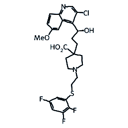 COc1ccc2ncc(Cl)c([C@@H](O)CCC3(C(=O)O)CCN(CCSc4cc(F)cc(F)c4F)CC3)c2c1